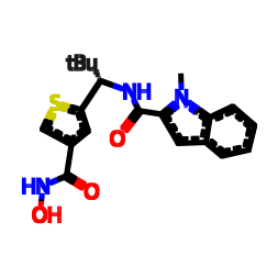 Cn1c(C(=O)N[C@H](c2cc(C(=O)NO)cs2)C(C)(C)C)cc2ccccc21